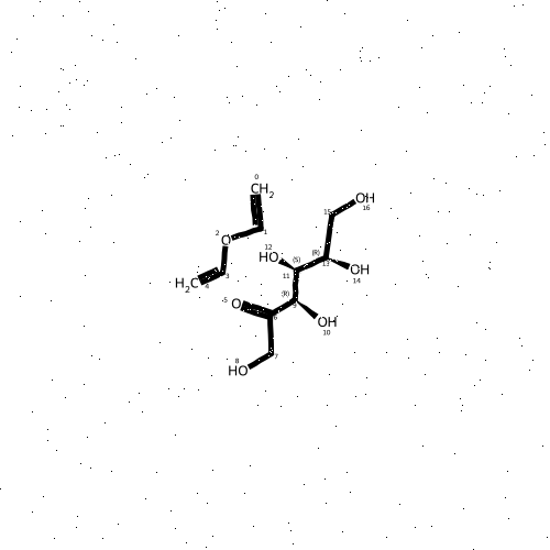 C=COC=C.O=C(CO)[C@H](O)[C@@H](O)[C@H](O)CO